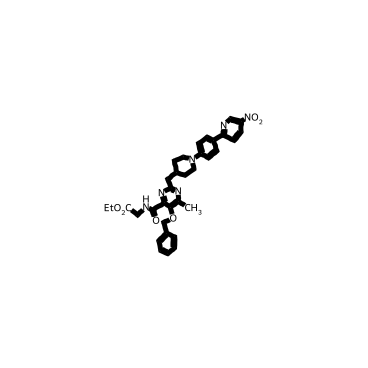 CCOC(=O)CNC(=O)c1nc(CC2CCN(c3ccc(-c4ccc([N+](=O)[O-])cn4)cc3)CC2)nc(C)c1OCc1ccccc1